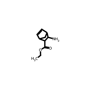 CCOC(=O)C1C2C=CC(C2)C1N